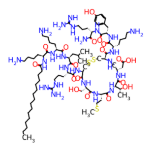 CCCCCCCCCCCCCCCC(=O)N[C@@H](CCCCN)C(=O)N[C@@H](CCCCN)C(=O)N[C@@H](CC(C)C)C(=O)N[C@@H](CCCNC(=N)N)C(=O)N[C@H]1CSSC[C@@H](C(=O)N[C@@H](CCCCN)C(=O)N[C@@H](Cc2ccc(O)cc2)C(=O)N[C@@H](CCCNC(=N)N)C(N)=O)NC[C@H](CC(=O)O)NC(=O)[C@H]([C@@H](C)O)NC(=O)[C@H](CCSC)NC(=O)[C@H](CO)NC1=O